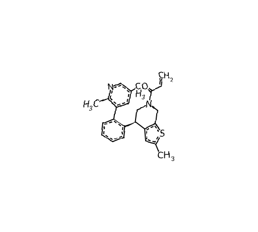 C=CC(=O)N1Cc2sc(C)cc2[C@@H](c2ccccc2-c2cc(C)cnc2C)C1